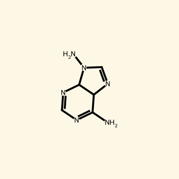 NC1=NC=NC2C1N=CN2N